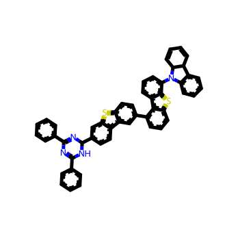 C1=CC2c3ccccc3N(c3cccc4c3sc3cccc(-c5ccc6sc7cc(C8N=C(c9ccccc9)N=C(c9ccccc9)N8)ccc7c6c5)c34)C2C=C1